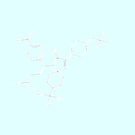 CC(C)CC[C@H](c1ccc(C(=O)O)cc1)N1C(=O)C(N2CCN(CC(F)(F)F)CC2)=NC12CCC(C(C)(C)C)CC2